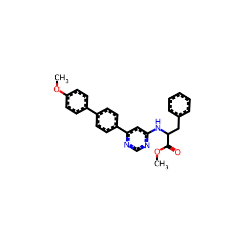 COC(=O)C(Cc1ccccc1)Nc1cc(-c2ccc(-c3ccc(OC)cc3)cc2)ncn1